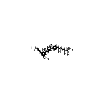 N=C(N)NCCCNCc1ccc(-n2cc3cc(-c4cc(CCCCN)cc(C(F)(F)F)c4)[nH]c3nc2=O)cc1